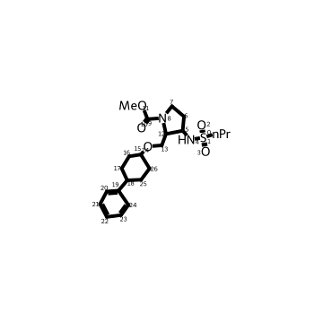 CCCS(=O)(=O)NC1CCN(C(=O)OC)C1COC1CCC(c2ccccc2)CC1